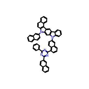 c1ccc(-c2nc(-c3ccc4ccccc4c3)nc(-c3cccc4cc(-n5c6ccccc6c6cc7c8c9ccccc9ccc8n(-c8ccc9ccccc9c8)c7cc65)ccc34)n2)cc1